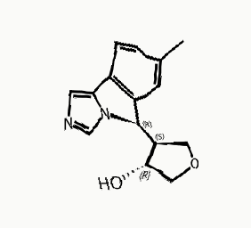 Cc1ccc2c(c1)[C@@H]([C@H]1COC[C@@H]1O)n1cncc1-2